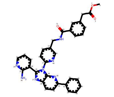 COC(=O)Cc1cccc(C(=O)NCc2ccc(-n3c(-c4cccnc4N)nc4ccc(-c5ccccc5)nc43)nc2)c1